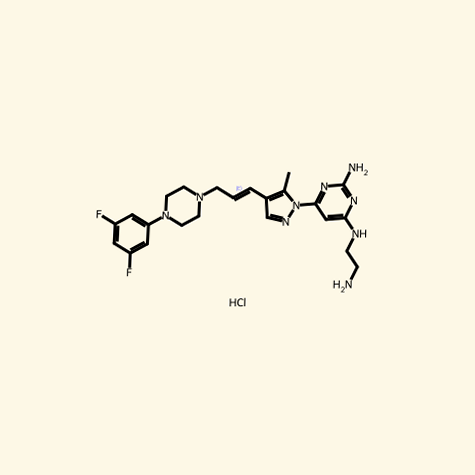 Cc1c(/C=C/CN2CCN(c3cc(F)cc(F)c3)CC2)cnn1-c1cc(NCCN)nc(N)n1.Cl